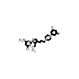 CCc1c(/C=C/CN2CCN(c3cc(F)cc(F)c3)CC2)cnn1-c1nc(N)cc(Cl)n1